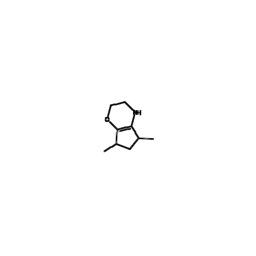 CC1CC(C)C2=C1NCCO2